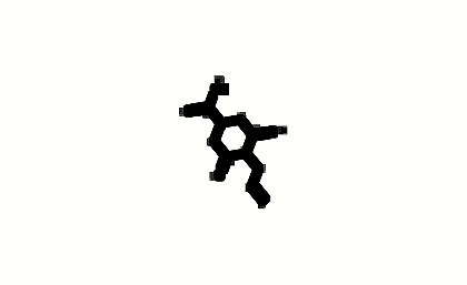 C=CCC1C(=O)CC(C(=O)O)CC1=O